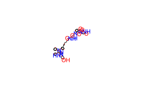 N=c1c2c(-c3ccccc3)c(-c3ccccc3)n(Cc3cccc(C#CCCCCC(=O)NCCOCCNc4cccc5c4C(=O)N(C4CCC(=O)NC4=O)C5=O)c3)c2ncn1C1CCC(O)CC1